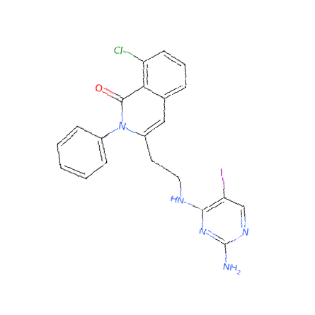 Nc1ncc(I)c(NCCc2cc3cccc(Cl)c3c(=O)n2-c2ccccc2)n1